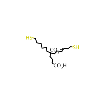 O=C(O)CCCC(CCCCCCS)(CCCCCCS)C(=O)O